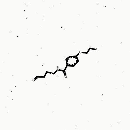 O=CCCCNC(=O)c1ccc(OCCF)cc1